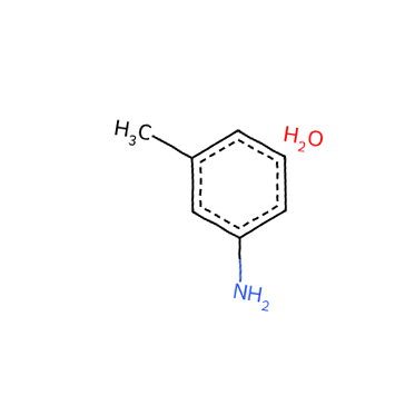 Cc1cccc(N)c1.O